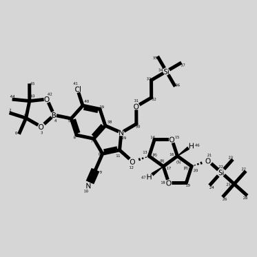 CC1(C)OB(c2cc3c(C#N)c(O[C@@H]4CO[C@H]5[C@@H]4OC[C@H]5O[Si](C)(C)C(C)(C)C)n(COCC[Si](C)(C)C)c3cc2Cl)OC1(C)C